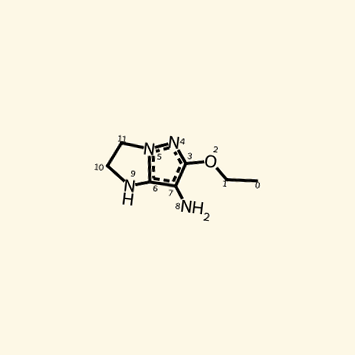 CCOc1nn2c(c1N)NCC2